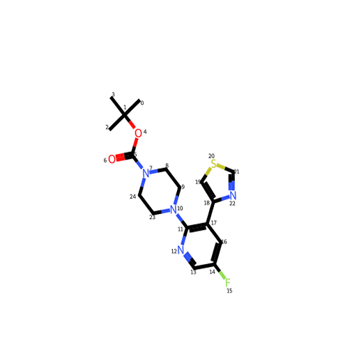 CC(C)(C)OC(=O)N1CCN(c2ncc(F)cc2-c2cscn2)CC1